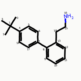 CC(C)(C)c1ccc(-c2ccccc2CCN)cc1